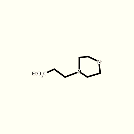 CCOC(=O)CCN1CC[N]CC1